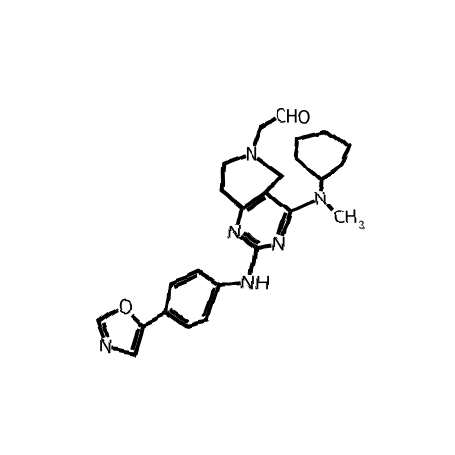 CN(c1nc(Nc2ccc(-c3cnco3)cc2)nc2c1CN(CC=O)CC2)C1CCCCC1